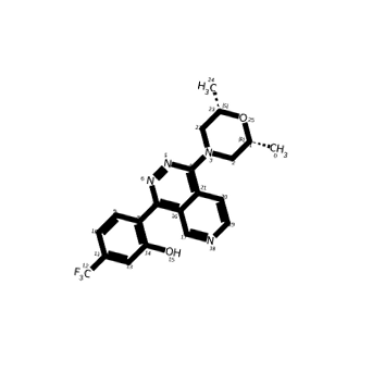 C[C@@H]1CN(c2nnc(-c3ccc(C(F)(F)F)cc3O)c3cnccc23)C[C@H](C)O1